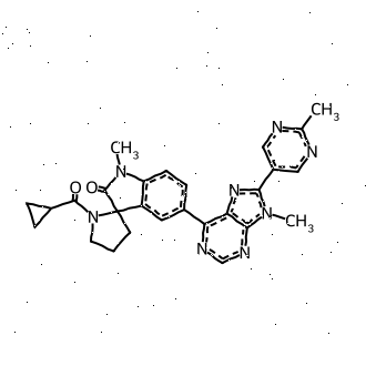 Cc1ncc(-c2nc3c(-c4ccc5c(c4)C4(CCCN4C(=O)C4CC4)C(=O)N5C)ncnc3n2C)cn1